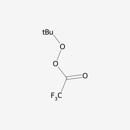 CC(C)(C)OOC(=O)C(F)(F)F